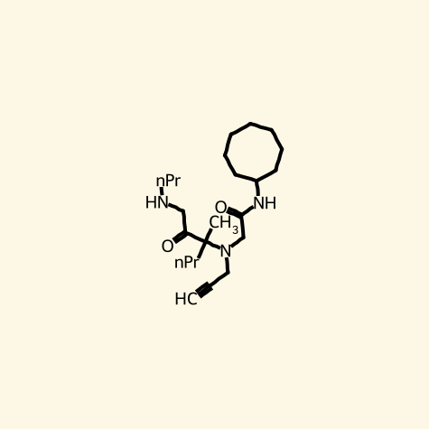 C#CCN(CC(=O)NC1CCCCCCC1)C(C)(CCC)C(=O)CNCCC